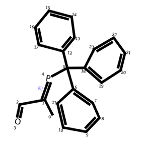 C/C(C=O)=P\C(c1ccccc1)(c1ccccc1)c1ccccc1